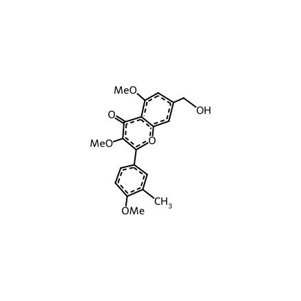 COc1ccc(-c2oc3cc(CO)cc(OC)c3c(=O)c2OC)cc1C